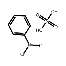 ClN(Cl)c1ccccc1.O=S(=O)(O)O